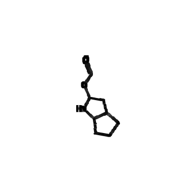 O=COC1CC2CCCC2N1